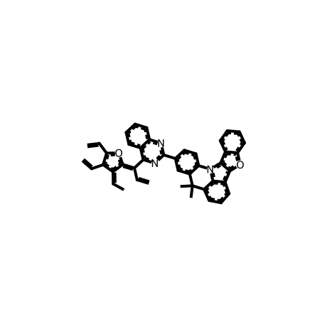 C=C/C(c1nc(-c2ccc3c(c2)C(C)(C)c2cccc4c5oc6ccccc6c5n-3c24)nc2ccccc12)=c1/oc(C=C)c(C=C)/c1=C/C